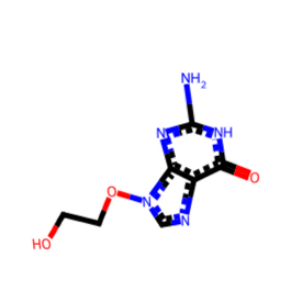 Nc1nc2c(ncn2OCCO)c(=O)[nH]1